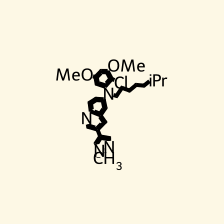 COc1cc(OC)c(Cl)c(N(CCCCCC(C)C)c2ccc3ncc(-c4cnn(C)c4)cc3c2)c1